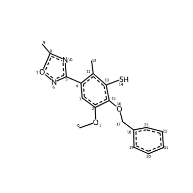 COc1cc(-c2noc(C)n2)c(C)c(S)c1OCc1ccccc1